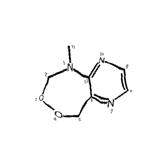 CN1COOCc2nccnc21